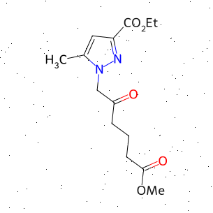 CCOC(=O)c1cc(C)n(CC(=O)CCCC(=O)OC)n1